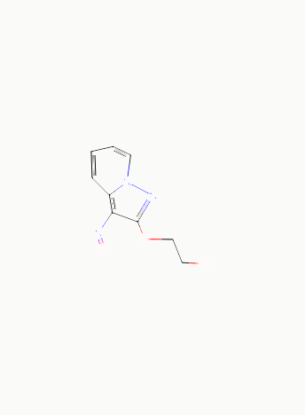 O=Nc1c(OCCO)nn2ccccc12